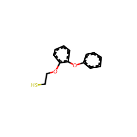 SCCOc1ccccc1Oc1ccccc1